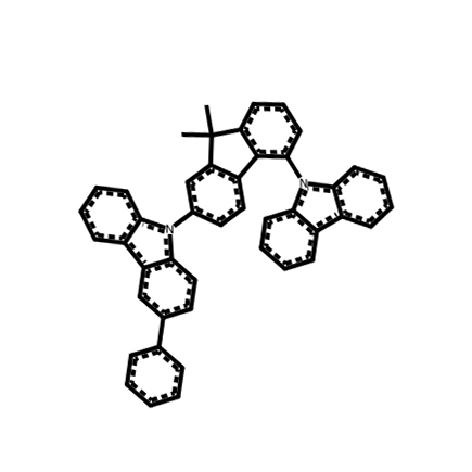 CC1(C)c2cc(-n3c4ccccc4c4cc(-c5ccccc5)ccc43)ccc2-c2c(-n3c4ccccc4c4ccccc43)cccc21